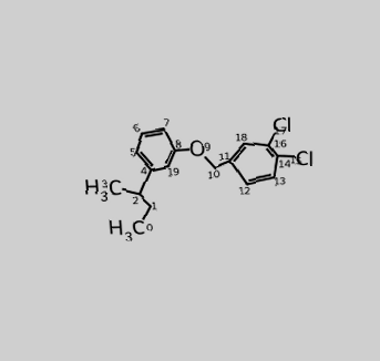 CCC(C)c1cccc(OCc2ccc(Cl)c(Cl)c2)c1